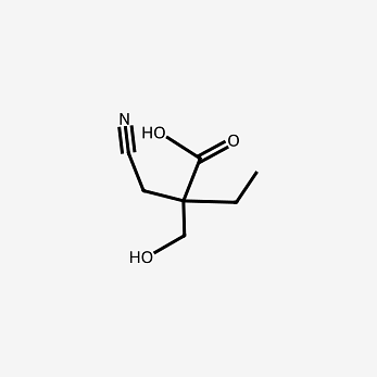 CCC(CO)(CC#N)C(=O)O